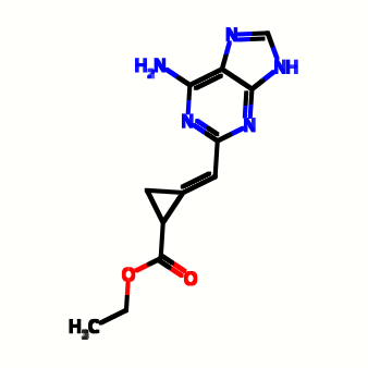 CCOC(=O)C1C/C1=C\c1nc(N)c2nc[nH]c2n1